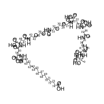 C[C@@H](O)[C@H](NC(=O)[C@H](CCCCNC(=O)CC[C@H](NC(=O)CC[C@H](NC(=O)COCCOCCNC(=O)COCCOCCNC(=O)CCC(NC(=O)CC[C@H](NC(=O)CCCCCCCCCCCCCCCCC(=O)O)C(=O)O)C(=O)O)C(=O)O)C(=O)O)NI)C(N)=O